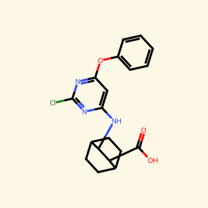 O=C(O)C1C2CCC(CC2)C1Nc1cc(Oc2ccccc2)nc(Cl)n1